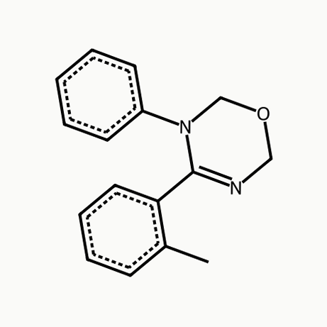 Cc1ccccc1C1=NCOCN1c1ccccc1